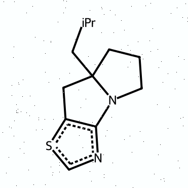 CC(C)CC12CCCN1c1ncsc1C2